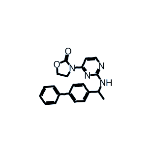 CC(Nc1nccc(N2CCOC2=O)n1)c1ccc(-c2ccccc2)cc1